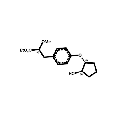 CCOC(=O)[C@H](Cc1ccc(O[C@@H]2CCC[C@H]2O)cc1)OC